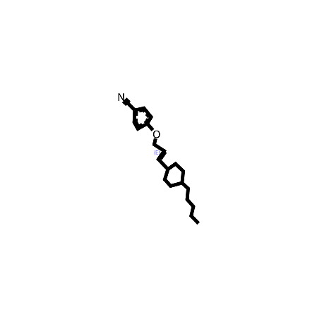 CCCCCC1CCC(/C=C/COc2ccc(C#N)cc2)CC1